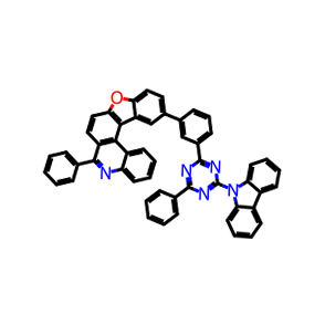 c1ccc(-c2nc(-c3cccc(-c4ccc5oc6ccc7c(-c8ccccc8)nc8ccccc8c7c6c5c4)c3)nc(-n3c4ccccc4c4ccccc43)n2)cc1